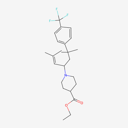 CCOC(=O)C1CCN(C(C=C(C)C)CC(C)(C)c2ccc(C(F)(F)F)cc2)CC1